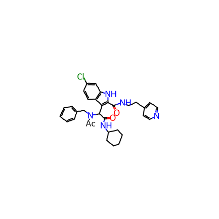 CC(=O)N(Cc1ccccc1)C(C(=O)NC1CCCCC1)c1c(C(=O)NCCc2ccncc2)[nH]c2cc(Cl)ccc12